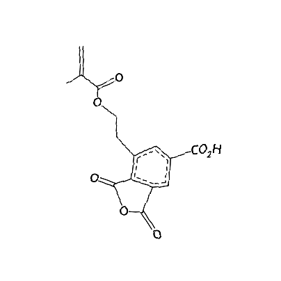 C=C(C)C(=O)OCCc1cc(C(=O)O)cc2c1C(=O)OC2=O